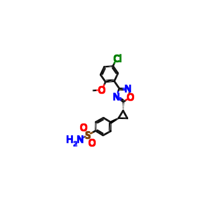 COc1ccc(Cl)cc1-c1noc([C@@H]2C[C@H]2c2ccc(S(N)(=O)=O)cc2)n1